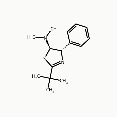 CN(C)[C@@H]1SC(C(C)(C)C)=N[C@H]1c1ccccc1